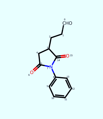 O=CCCC1CC(=O)N(c2ccccc2)C1=O